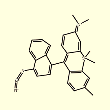 Cc1ccc2c(c1)[Si](C)(C)C1=CC(=[N+](C)C)C=CC1=C2c1ccc(N=[N+]=[N-])c2ccccc12